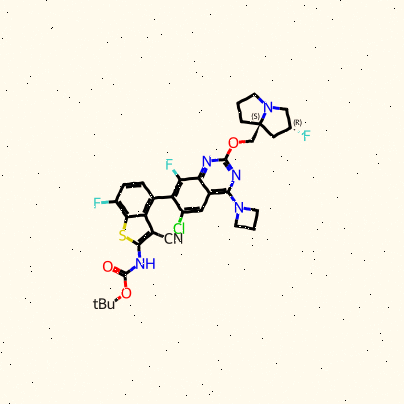 CC(C)(C)OC(=O)Nc1sc2c(F)ccc(-c3c(Cl)cc4c(N5CCC5)nc(OC[C@@]56CCCN5C[C@H](F)C6)nc4c3F)c2c1C#N